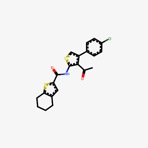 CC(=O)c1c(-c2ccc(Cl)cc2)csc1NC(=O)c1cc2c(s1)CCCC2